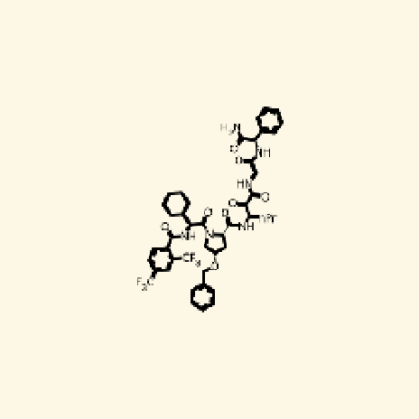 CCCC(NC(=O)[C@@H]1C[C@@H](OCc2ccccc2)CN1C(=O)C(NC(=O)c1ccc(C(F)(F)F)cc1C(F)(F)F)C1CCCCC1)C(=O)C(=O)NCC(=O)N[C@@H](C(N)=O)c1ccccc1